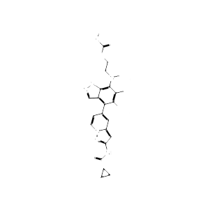 CNC(=O)OCCN(C)c1c(F)c(C)c(-c2ccn3nc(NC(=O)[C@@H]4C[C@@H]4F)cc3c2)c2cn[nH]c12